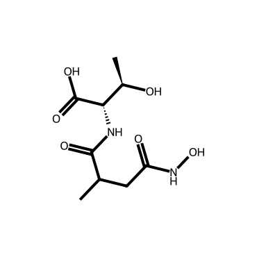 CC(CC(=O)NO)C(=O)N[C@H](C(=O)O)[C@@H](C)O